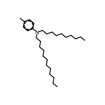 CCCCCCCCCCCCN(CCCCCCCCCC)c1ccc(C)cc1